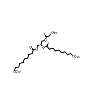 CCCCCCCCCCCCCCCCCCC(=O)OC[C@@H](COC(=O)CCCCCCCCCCC)OC(=O)CCCCCCCCCCCCCCCCCC